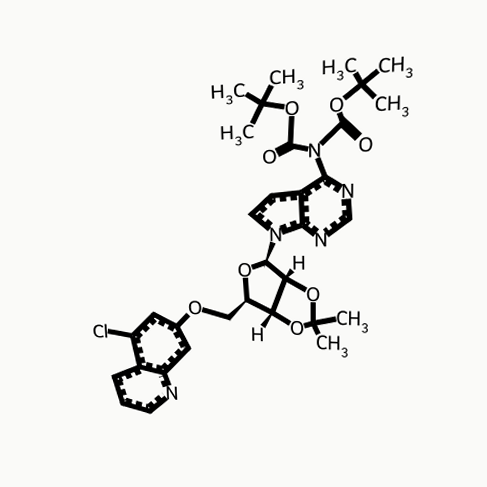 CC(C)(C)OC(=O)N(C(=O)OC(C)(C)C)c1ncnc2c1ccn2[C@@H]1O[C@H](COc2cc(Cl)c3cccnc3c2)[C@H]2OC(C)(C)O[C@H]21